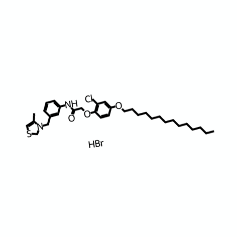 Br.CCCCCCCCCCCCCCOc1ccc(OCC(=O)Nc2cccc(CN3CSC=C3C)c2)c(Cl)c1